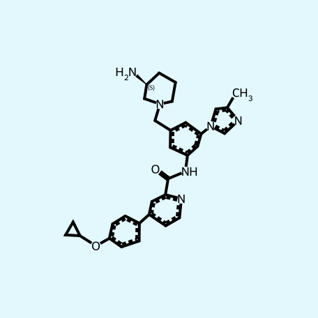 Cc1cn(-c2cc(CN3CCC[C@H](N)C3)cc(NC(=O)c3cc(-c4ccc(OC5CC5)cc4)ccn3)c2)cn1